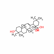 CC1(C)CC[C@@]2(C(=O)O)C(C1)C1=CCC3[C@@]4(C)CC[C@H](O)C(C)(C)C4CC[C@@]3(C)[C@]1(C)C[C@H]2O